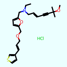 CCN(C/C=C/C#CC(C)(C)OC)Cc1ccc(COC/C=C/c2ccsc2)o1.Cl